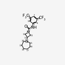 O=C(Nc1cc(C(F)(F)F)cc(C(F)(F)F)c1)N1CC(N2CCCCCC2)C1